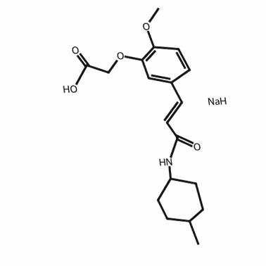 COc1ccc(C=CC(=O)NC2CCC(C)CC2)cc1OCC(=O)O.[NaH]